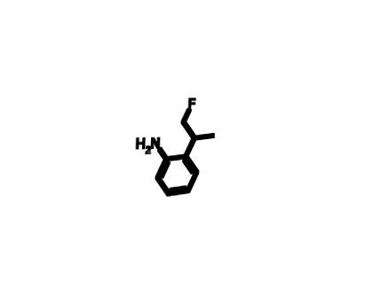 CC(CF)c1ccccc1N